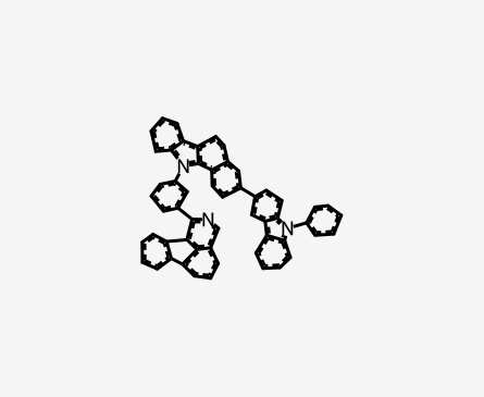 c1ccc(-n2c3ccccc3c3cc(-c4ccc5c(ccc6c7ccccc7n(-c7cccc(-c8ncc9cccc%10c9c8-c8ccccc8-%10)c7)c56)c4)ccc32)cc1